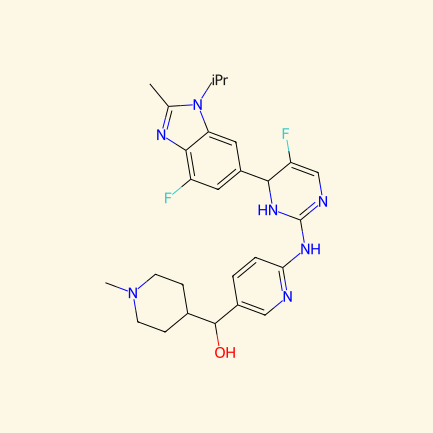 Cc1nc2c(F)cc(C3NC(Nc4ccc(C(O)C5CCN(C)CC5)cn4)=NC=C3F)cc2n1C(C)C